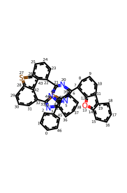 c1ccc(-c2nc(-c3cccc4c3oc3ccccc34)nc(-c3cccc4sc5cccc(-c6nc7ccccc7s6)c5c34)n2)cc1